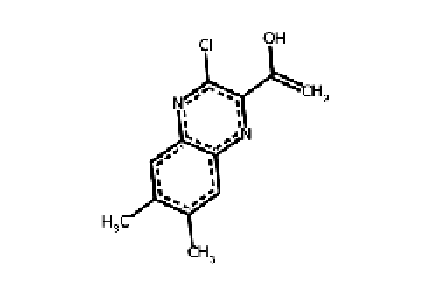 C=C(O)c1nc2cc(C)c(C)cc2nc1Cl